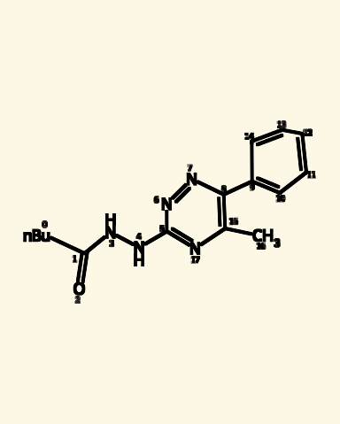 CCCCC(=O)NNc1nnc(-c2ccccc2)c(C)n1